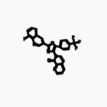 O=c1c2ncccc2ccn1-c1nc(-c2cnc3c(F)cccc3c2)oc1-c1ccc(C(F)(F)F)cc1